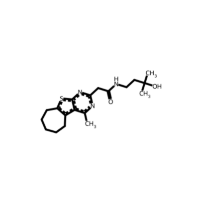 Cc1nc(CC(=O)NCCC(C)(C)O)nc2sc3c(c12)CCCCC3